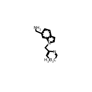 C/C=N\C(=C/C)Cn1ccc2ccc(CN)cc21